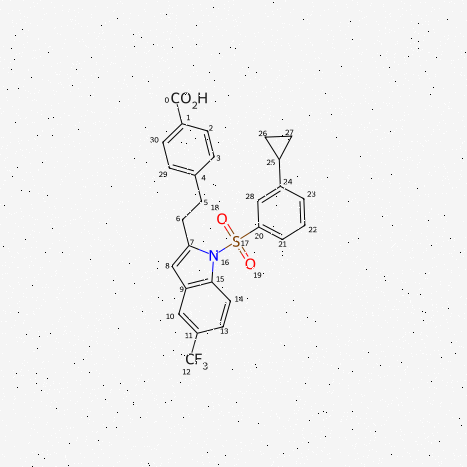 O=C(O)c1ccc(CCc2cc3cc(C(F)(F)F)ccc3n2S(=O)(=O)c2cccc(C3CC3)c2)cc1